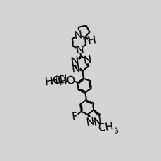 Cl.Cl.Cn1cc2cc(-c3ccc(-c4cnc(N5CCN6CCC[C@@H]6C5)nn4)c(O)c3)cc(F)c2n1